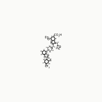 CCOc1cc(C(=O)O)cc2c1nc(CN1CCC(c3cccc4c3OC(C)(c3ccc(C(F)(F)F)cc3F)O4)CC1)n2C[C@@H]1CCO1